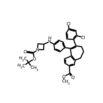 COC(=O)c1ccc2c(c1)CCCC(c1ccc(Cl)cc1Cl)=C2c1ccc(NC2CN(C(=O)OC(C)(C)C)C2)cc1